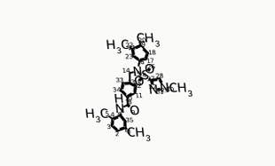 Cc1ccc(C)c(NC(=O)c2ccc(CN(c3ccc(C)c(C)c3)S(=O)(=O)c3cn(C)cn3)cc2)c1